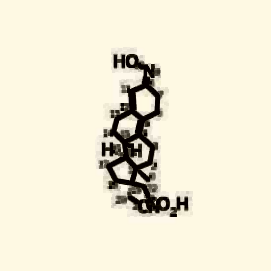 C[C@]12CCC3=C4CC/C(=N/O)C=C4CC[C@H]3[C@@H]1CC[C@]2(CC#N)CC(=O)O